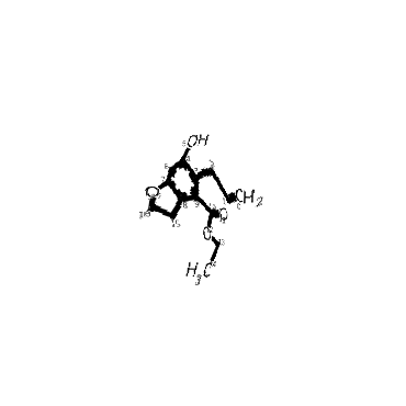 C=CCc1c(O)cc2c(c1C(=O)OCC)CCO2